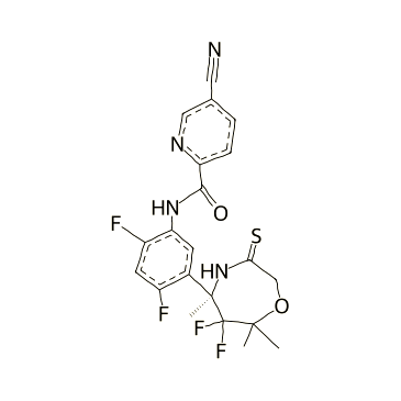 CC1(C)OCC(=S)N[C@](C)(c2cc(NC(=O)c3ccc(C#N)cn3)c(F)cc2F)C1(F)F